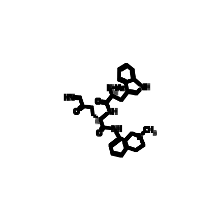 CC(=O)N[C@@H](Cc1c[nH]c2ccccc12)C(=O)N[C@@H](CCC(=O)C=N)C(=O)Nc1cccc2c1CN(C)CC2